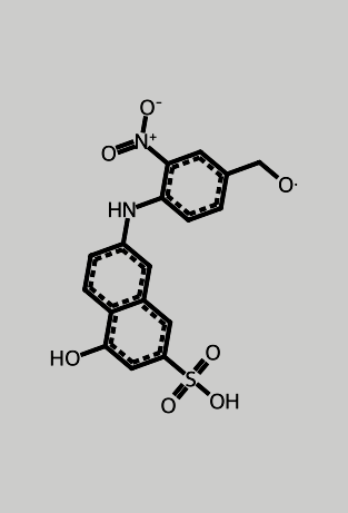 [O]Cc1ccc(Nc2ccc3c(O)cc(S(=O)(=O)O)cc3c2)c([N+](=O)[O-])c1